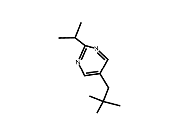 CC(C)c1ncc(CC(C)(C)C)cn1